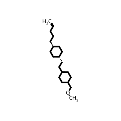 C=CCCC[C@H]1CC[C@H](CCC2CCC(COC)CC2)CC1